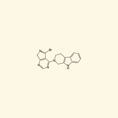 BrC1=NCc2ncnc(N3CCc4c([nH]c5ccccc45)C3)c21